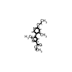 CCOc1cc(C)c(-c2cc(C(=O)OC)nn2C)cn1